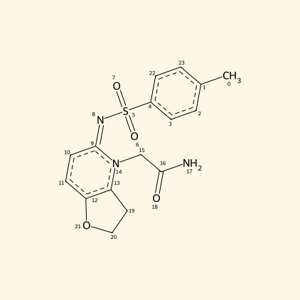 Cc1ccc(S(=O)(=O)/N=c2/ccc3c(n2CC(N)=O)CCO3)cc1